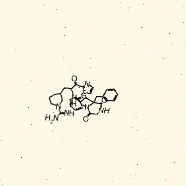 N=C(N)N1CCCC(CC(NC(=O)CN2C(=O)CNC(=O)C2(Cc2ccccc2)Cc2ccccc2)C(=O)c2nccs2)C1